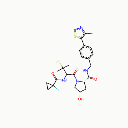 Cc1ncsc1-c1ccc(CNC(=O)[C@@H]2C[C@H](O)CN2C(=O)C(NC(=O)C2(F)CC2)C(C)(C)S)cc1